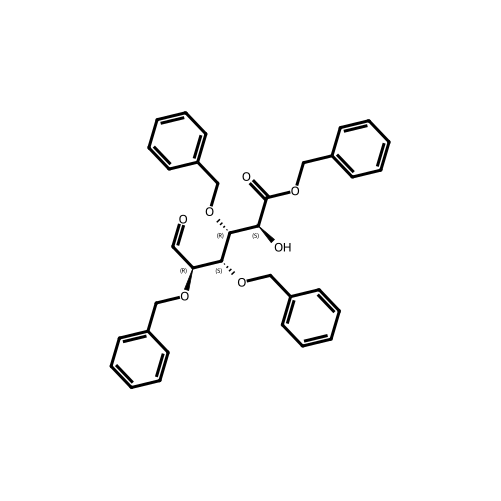 O=C[C@H](OCc1ccccc1)[C@@H](OCc1ccccc1)[C@H](OCc1ccccc1)[C@H](O)C(=O)OCc1ccccc1